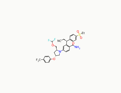 CCS(=O)(=O)c1ccc([C@H](CC#N)c2cc(N3C[C@H](Oc4ccc(C(F)(F)F)cc4)C[C@H]3COC(F)F)ccc2C(N)=O)cc1